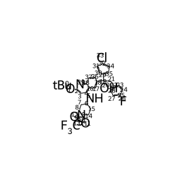 CC(C)(C)Oc1cc(NC2CCN(S(=O)(=O)C(F)(F)F)CC2)c2cc(C(O)(Cc3ccc(F)cc3)c3ccc(Cl)cc3)ccc2n1